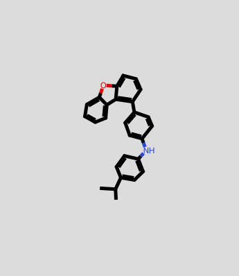 CC(C)c1ccc(Nc2ccc(-c3cccc4oc5ccccc5c34)cc2)cc1